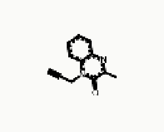 C#CCn1c(=O)c(C)nc2ccccc21